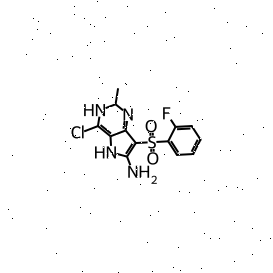 CC1N=c2c(S(=O)(=O)c3ccccc3F)c(N)[nH]c2=C(Cl)N1